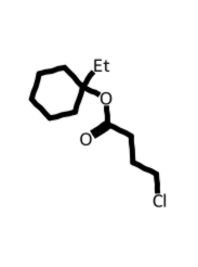 CCC1(OC(=O)CCCCl)CCCCC1